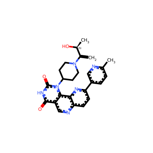 C=C([C@H](C)O)N1CCC(n2c(=O)[nH]c(=O)c3cnc4ccc(-c5ccc(C)nc5)nc4c32)CC1